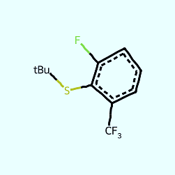 CC(C)(C)Sc1c(F)cccc1C(F)(F)F